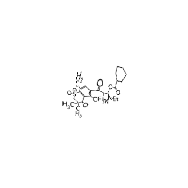 CCn1ncc(C(=O)c2cc(C)c3c(c2C(F)(F)F)C(=O)C(C)(C)CS3(=O)=O)c1OC(=O)C1CCCCC1